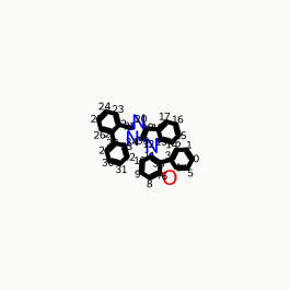 c1ccc2c(c1)oc1cccc(-n3c4ccccc4c4nc5c6ccccc6c6ccccc6n5c43)c12